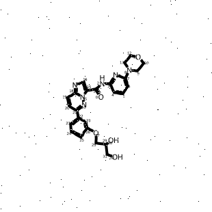 O=C(Nc1cccc(N2CCOCC2)n1)c1cnc2ccc(-c3cccc(OCC(O)CO)c3)nn12